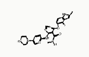 CCN(C)C(=O)c1c(Nc2ccc(N3CCNCC3)cn2)ncnc1Oc1ccc2[nH]c(C)cc2c1F